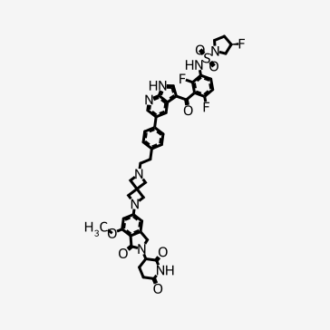 COc1cc(N2CC3(CN(CCc4ccc(-c5cnc6[nH]cc(C(=O)c7c(F)ccc(NS(=O)(=O)N8CC[C@@H](F)C8)c7F)c6c5)cc4)C3)C2)cc2c1C(=O)N(C1CCC(=O)NC1=O)C2